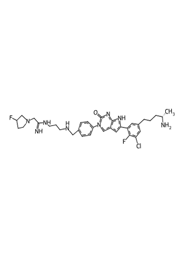 C[C@H](N)CCCc1cc(Cl)c(F)c(-c2cc3cn(-c4ccc(CNCCCNC(=N)CN5CCC(F)C5)cc4)c(=O)nc3[nH]2)c1